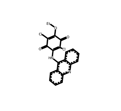 CCOC1=C(Cl)C(=O)C(Nc2c3ccccc3nc3ccccc23)=C(Cl)C1=O